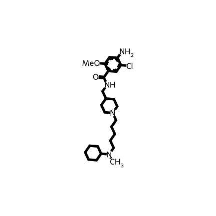 COc1cc(N)c(Cl)cc1C(=O)NCC1CCN(CCCCCN(C)C2CCCCC2)CC1